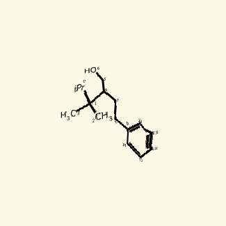 CC(C)C(C)(C)[C](CO)CCc1ccccc1